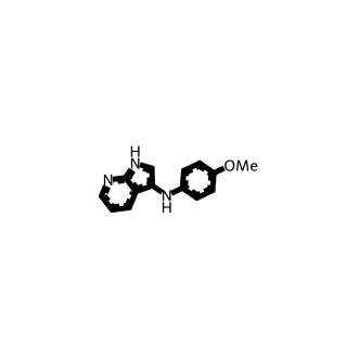 COc1ccc(Nc2c[nH]c3ncccc23)cc1